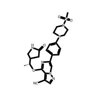 C[C@@H](Oc1nc(-c2ccc(N3CCN(S(C)(=O)=O)CC3)cc2)cn2ncc(C#N)c12)C1CNC(=O)C1